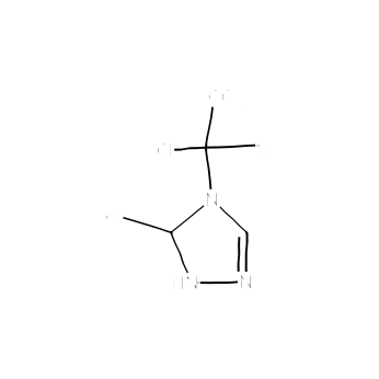 ClC1NN=CN1C(Cl)(Cl)C(Cl)(Cl)Cl